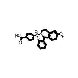 COc1ccc2c(c1)CCN(S(=O)(=O)c1ccc(C(=O)O)cc1)C2c1ccccc1